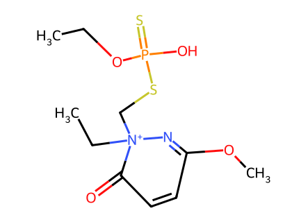 CCOP(O)(=S)SC[N+]1(CC)N=C(OC)C=CC1=O